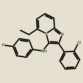 CCc1cccc2nc(-c3ccccc3Cl)c(Nc3ccc(F)cc3)n12